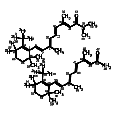 [2H]C([2H])([2H])C1=C(C=CC(C)=CC=CC(C)=CC(=O)N(C)C)C(C)(C)CCC1([2H])[2H].[2H]C([2H])([2H])C1=C(C=CC(C)=CC=CC(C)=CC(N)=O)C(C)(C)CCC1([2H])[2H]